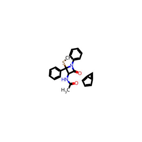 CSC1(c2ccccc2)C(NC(C)=O)C(=O)N1c1ccccc1.c1cc2cc-2c1